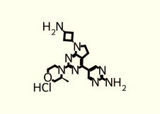 C[C@H]1COCCN1c1nc(-c2cnc(N)nc2)c2c(n1)N([C@H]1C[C@H](N)C1)CC2.Cl